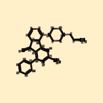 C=CCN1CCN(c2cccc3c2-c2nc(N)nc(-c4ccccc4)c2C3=O)CC1